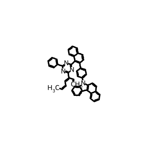 C=C/C(=C\C=C/C)c1nc(-c2ccccc2)nc(-c2c(-c3ccc(-n4c5ccccc5c5c6ccccc6ccc54)cc3)ccc3ccccc23)n1